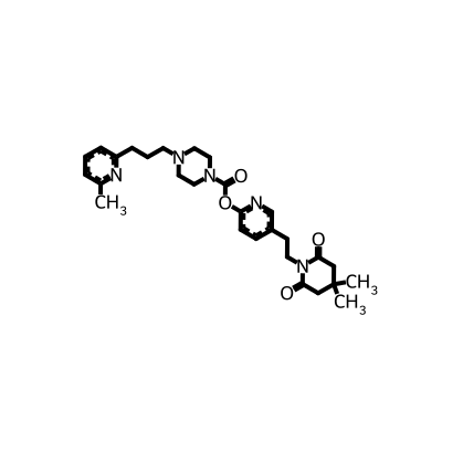 Cc1cccc(CCCN2CCN(C(=O)Oc3ccc(CCN4C(=O)CC(C)(C)CC4=O)cn3)CC2)n1